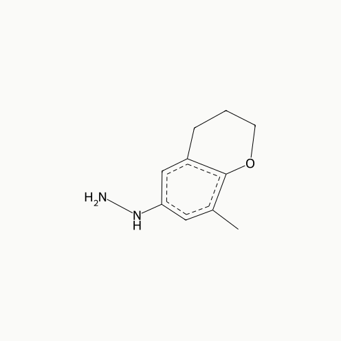 Cc1cc(NN)cc2c1OCCC2